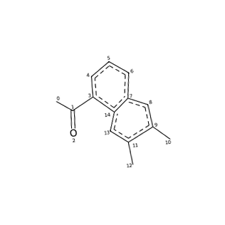 CC(=O)c1cccc2cc(C)c(C)cc12